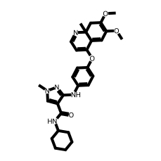 COC1=C(OC)CC2(C)N=CC=C(Oc3ccc(Nc4nn(C)cc4C(=O)NC4CCCCC4)cc3)C2=C1